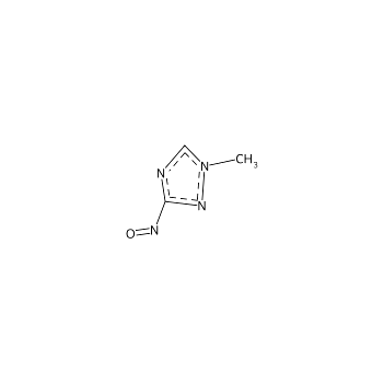 Cn1cnc(N=O)n1